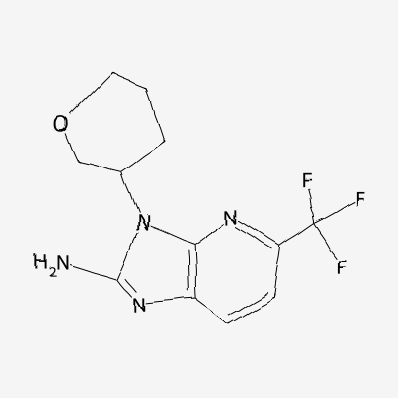 Nc1nc2ccc(C(F)(F)F)nc2n1C1CCCOC1